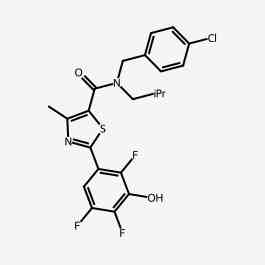 Cc1nc(-c2cc(F)c(F)c(O)c2F)sc1C(=O)N(Cc1ccc(Cl)cc1)CC(C)C